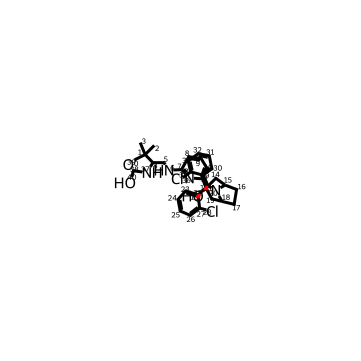 CC(C)(C)C(CNc1cccc(C2(O)CC3CCC(C2)N3C(c2ccccc2Cl)c2ccccc2Cl)n1)NC(=O)O